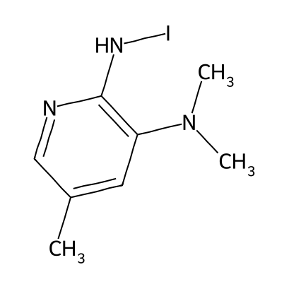 Cc1cnc(NI)c(N(C)C)c1